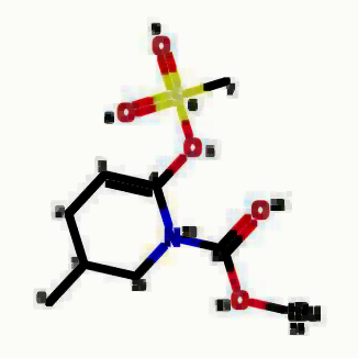 CC1CC=C(OS(C)(=O)=O)N(C(=O)OC(C)(C)C)C1